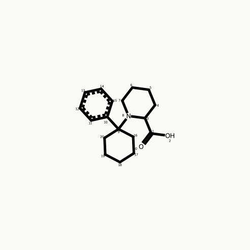 O=C(O)C1CCCCN1C1(c2ccccc2)CCCCC1